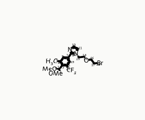 COC(OC)c1c(C)cc(-c2nccn2CCOCCBr)cc1C(F)(F)F